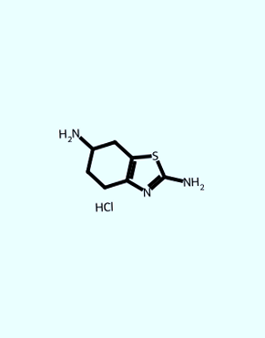 Cl.Nc1nc2c(s1)CC(N)CC2